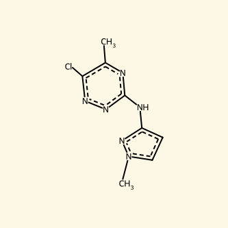 Cc1nc(Nc2ccn(C)n2)nnc1Cl